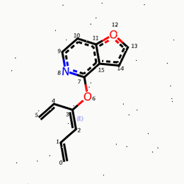 C=C/C=C(\C=C)Oc1nccc2occc12